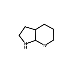 C1C[N]C2NCCC2C1